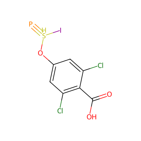 O=C(O)c1c(Cl)cc(O[SH](#P)I)cc1Cl